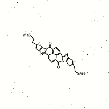 CSCCc1cc2nc3c4ccc5c(=O)n6c(nc7cc(CCSC)sc76)c6ccc(c(=O)n3c2s1)c4c56